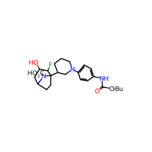 CC(C)COC(=O)Nc1ccc(N2CCCC(C34CCC(CC(O)C3F)N4C(=O)O)C2)cc1